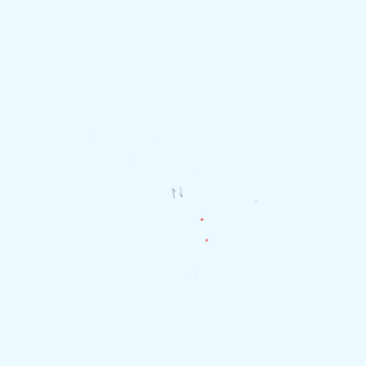 CC1(C)c2ccccc2-c2cccc(-c3ccccc3N(c3ccc4c(c3)C(c3ccccc3)(c3ccccc3)c3ccccc3-4)c3ccc4oc5ccccc5c4c3)c21